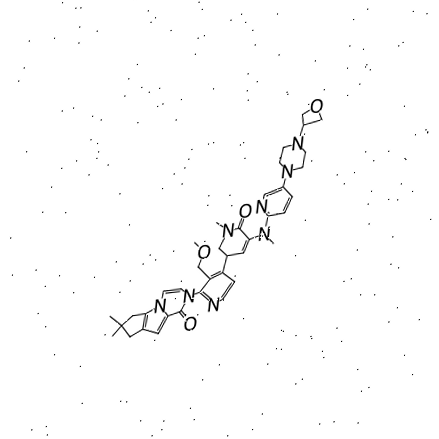 COCc1c(C2C=C(N(C)c3ccc(N4CCN(C5COC5)CC4)cn3)C(=O)N(C)C2)ccnc1-n1ccn2c3c(cc2c1=O)CC(C)(C)C3